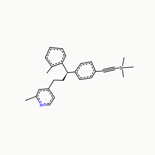 Cc1cc(CC[C@H](c2ccc(C#C[Si](C)(C)C)cc2)c2ccccc2C)ccn1